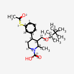 CC(=O)Sc1cccc(C2CCN(C(=O)O)C(C)C2CO[Si](C)(C)C(C)(C)C)c1